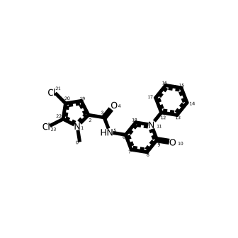 Cn1c(C(=O)Nc2ccc(=O)n(-c3ccccc3)c2)cc(Cl)c1Cl